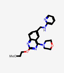 COCCOc1nc(N2CCOCC2)c2cc(CNc3ccccn3)ccc2n1